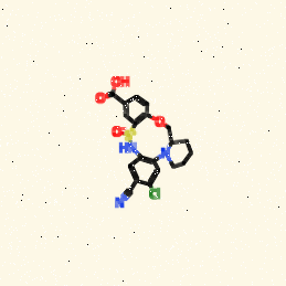 N#Cc1cc2c(cc1Cl)N1CCCCC1COc1ccc(C(=O)O)cc1[S+]([O-])N2